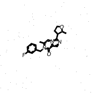 Cc1cn2c(C3CCOC3C)ncc2c(=O)n1Cc1cccc(F)c1